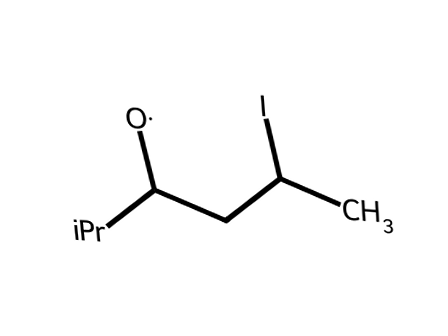 CC(I)CC([O])C(C)C